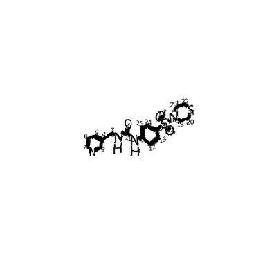 O=C(NCc1cccnc1)Nc1ccc(S(=O)(=O)N2CCSCC2)cc1